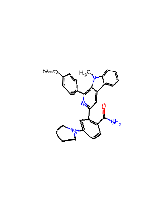 COc1ccc(-c2nc(-c3cc(N4CCCC4)ccc3C(N)=O)cc3c4ccccc4n(C)c23)cc1